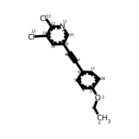 CCOc1ccc(C#Cc2cnc(Cl)c(Cl)c2)cc1